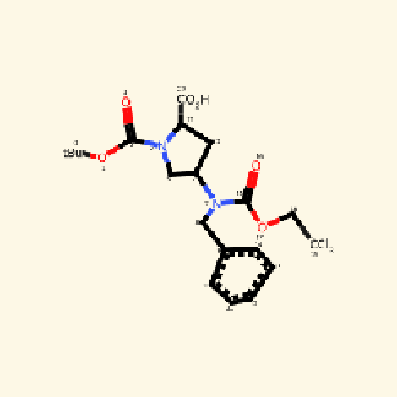 CC(C)(C)OC(=O)N1CC(N(Cc2ccccc2)C(=O)OCC(Cl)(Cl)Cl)CC1C(=O)O